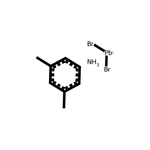 Cc1cccc(C)c1.N.[Br][Pb][Br]